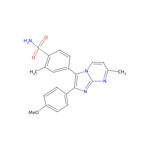 COc1ccc(-c2nc3nc(C)ccn3c2-c2ccc(S(N)(=O)=O)c(C)c2)cc1